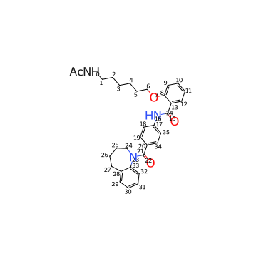 CC(=O)NCCCCCCOc1ccccc1C(=O)Nc1ccc(C(=O)N2CCCCc3ccccc32)cc1